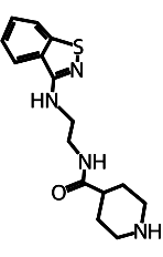 O=C(NCCNc1nsc2ccccc12)C1CCNCC1